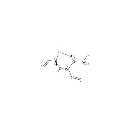 C=C[SiH](O[SiH3])O[SiH](C=C)O[SiH2]C